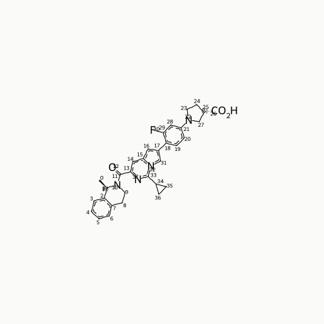 C[C@@H]1c2ccccc2CCN1C(=O)c1cc2cc(-c3ccc(N4CC[C@H](C(=O)O)C4)cc3F)cn2c(C2CC2)n1